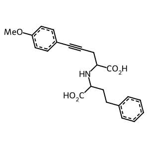 COc1ccc(C#CCC(NC(CCc2ccccc2)C(=O)O)C(=O)O)cc1